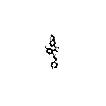 CC(Nc1ccn2nccc2n1)c1cc(F)ccc1OCCN1CCOCC1